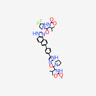 COC(=O)N[C@H](C(=O)N1CCC[C@H]1c1ncc(-c2ccc(-c3ccc4c(ccc5[nH]c([C@@H]6CC(F)(F)CN6C(=O)[C@@H](NC(=O)OC)C(C)C)nc54)c3)cc2)[nH]1)C(C)C